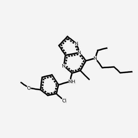 CCCCN(CC)c1c(C)c(Nc2ccc(OC)cc2Cl)nc2ccnn12